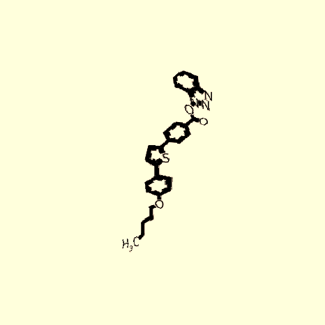 CCCCCOc1ccc(-c2ccc(-c3ccc(C(=O)On4nnc5ccccc54)cc3)s2)cc1